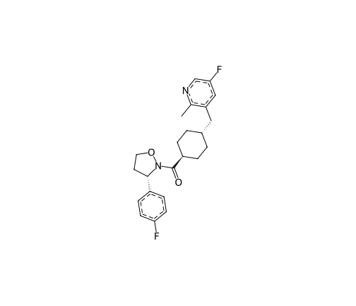 Cc1ncc(F)cc1C[C@H]1CC[C@H](C(=O)N2OCC[C@H]2c2ccc(F)cc2)CC1